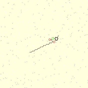 CCCCCCCCCCCCCCCCC(Oc1ccc(C)cc1)C(=O)Cl